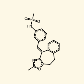 Cc1nc2c(o1)CCc1ccccc1C2=Cc1cccc(NS(C)(=O)=O)c1